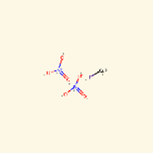 O=[N+]([O-])[O-].O=[N+]([O-])[O-].[Cu+2][I]